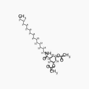 CCCCCCCCCCCCCCCCNC(=O)c1cc(OC(C)=O)cc(OC(C)=O)c1